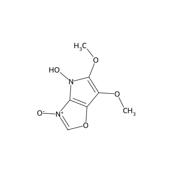 COc1c(OC)n(O)c2c1oc[n+]2[O-]